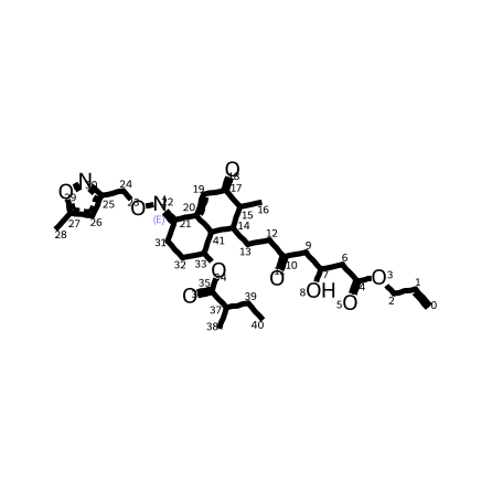 C=CCOC(=O)CC(O)CC(=O)CCC1C(C)C(=O)C=C2/C(=N/OCc3cc(C)on3)CCC(OC(=O)C(C)CC)C21